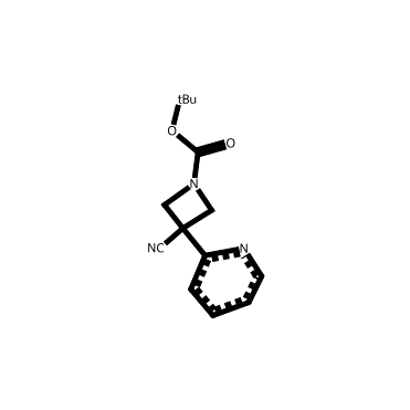 CC(C)(C)OC(=O)N1CC(C#N)(c2ccccn2)C1